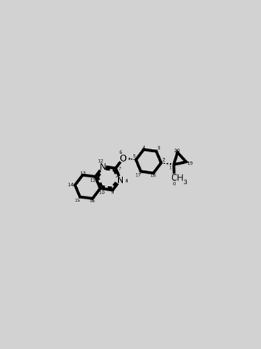 CC1([C@H]2CC[C@@H](Oc3ncc4c(n3)CCCC4)CC2)CC1